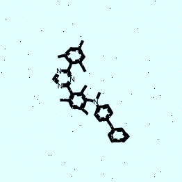 Cc1cc(C)c(-c2ncnc(-c3c(C)cc(C)c(N(C)c4ccc(-c5ccccc5)cc4)c3C)n2)c(C)c1